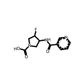 O=C(NC1CN(C(=O)O)CC1F)c1cccnc1